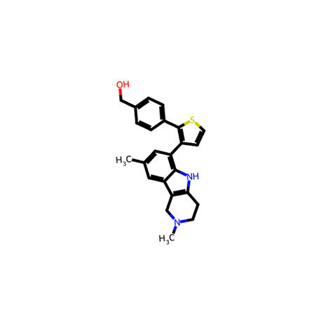 Cc1cc(-c2ccsc2-c2ccc(CO)cc2)c2[nH]c3c(c2c1)CN(C)CC3